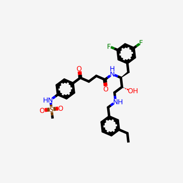 CCc1cccc(CNC[C@@H](O)[C@H](Cc2cc(F)cc(F)c2)NC(=O)CCC(=O)c2ccc(NS(C)(=O)=O)cc2)c1